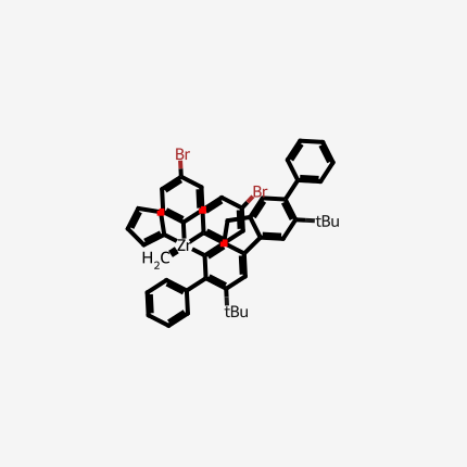 [CH2]=[Zr]([C]1=CC=CC1)([c]1ccc(Br)cc1)([c]1ccc(Br)cc1)[c]1c2c(cc(C(C)(C)C)c1-c1ccccc1)-c1cc(C(C)(C)C)c(-c3ccccc3)cc1C2